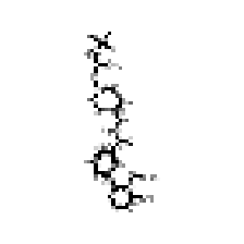 CC(C)(C)NC(=O)CN1CCC(CNC(=O)c2cccc(-c3cccc(Cl)c3CI)c2)CC1